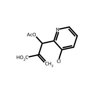 C=C(C(=O)O)C(OC(C)=O)c1ncccc1Cl